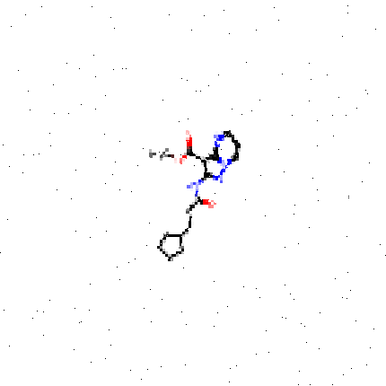 COC(=O)c1c(NC(=O)CCC2CCCC2)nn2cccnc12